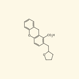 O=C(O)c1c(CC2CCCO2)ccc2c1Cc1ccccc1O2